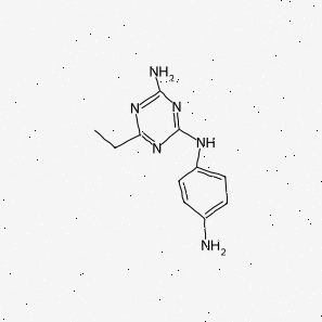 CCc1nc(N)nc(Nc2ccc(N)cc2)n1